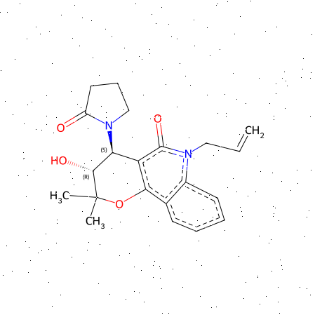 C=CCn1c(=O)c2c(c3ccccc31)OC(C)(C)[C@H](O)[C@H]2N1CCCC1=O